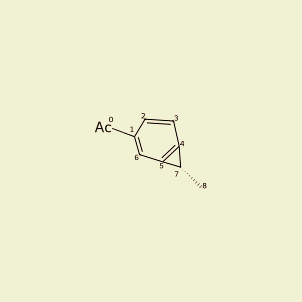 CC(=O)c1ccc2c(c1)[C@H]2C